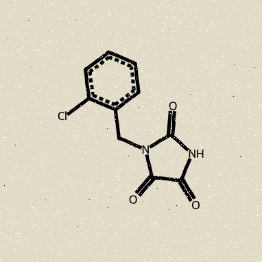 O=C1NC(=O)N(Cc2ccccc2Cl)C1=O